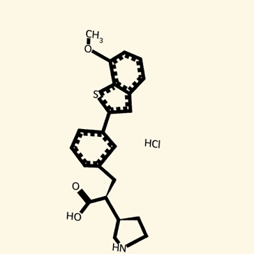 COc1cccc2cc(-c3cccc(C[C@H](C(=O)O)[C@H]4CCNC4)c3)sc12.Cl